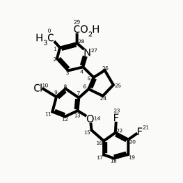 Cc1ccc(C2=C(c3cc(Cl)ccc3OCc3cccc(F)c3F)CCC2)nc1C(=O)O